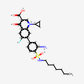 CCCCCCCNS(=O)(=O)c1ccc(-c2cc3c(cc2F)c(=O)c(C(=O)O)cn3C2CC2)cc1N